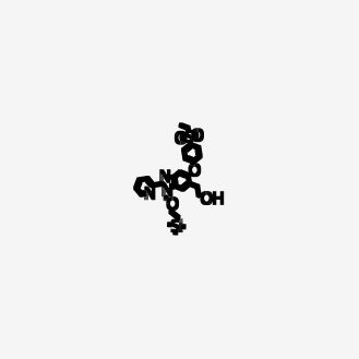 CCS(=O)(=O)c1ccc(Oc2cc3nc(-c4ccccn4)n(COCC[Si](C)(C)C)c3cc2CCO)cc1